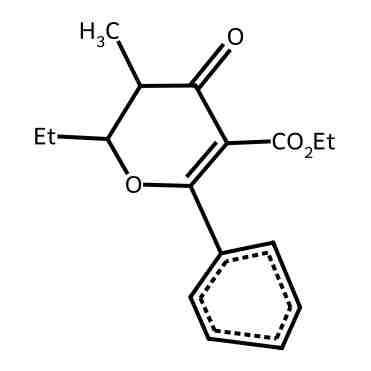 CCOC(=O)C1=C(c2ccccc2)OC(CC)C(C)C1=O